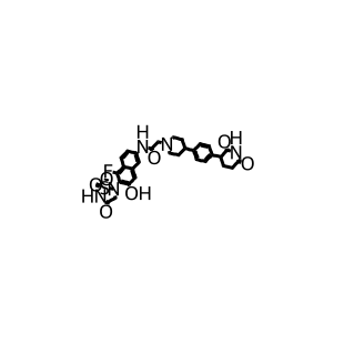 O=C1CCC(c2ccc(C3CCN(CC(=O)Nc4ccc5c(F)c(N6CC(=O)NS6(=O)=O)c(O)cc5c4)CC3)cc2)C(=O)N1